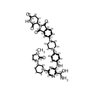 CN1CCN([C@@H]2CCCN(c3cnc(C(N)O)c(Nc4ccc(N5CCN(c6ccc7c(c6)C(=O)N(C6CCC(=O)NC6=O)C7=O)CC5)cc4)n3)C2)C1=O